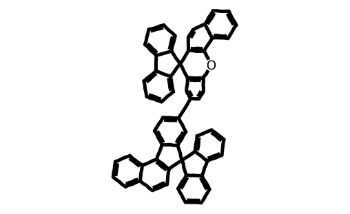 c1ccc2c(c1)-c1ccccc1C21c2cc(-c3ccc4c(c3)C3(c5ccccc5-c5ccccc53)c3ccc5ccccc5c3-4)ccc2Oc2c1ccc1ccccc21